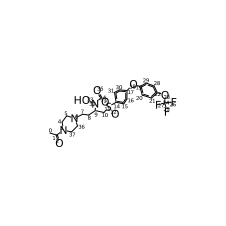 CC(=O)N1CCN(CCC(CS(=O)(=O)c2ccc(Oc3ccc(OC(F)(F)F)cc3)cc2)N(O)C=O)CC1